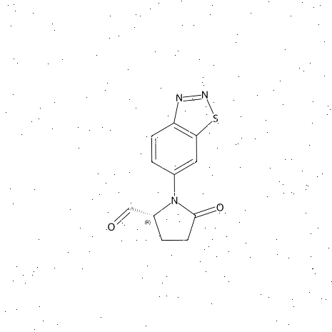 O=C[C@H]1CCC(=O)N1c1ccc2nnsc2c1